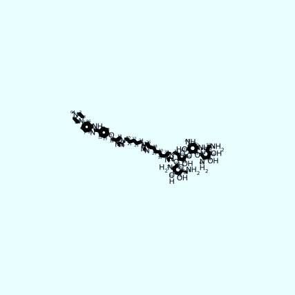 CN1CCN(c2ccc3nc(-c4ccc(OCc5cn(CCCCCn6cc(CCCCc7cn(CC8OC(O[C@@H]9[C@H](O)C(N)CC(N)[C@H]9OC9OC(CN)C(O)[C@@H](O)[C@@H]9N)[C@@H](O)[C@H]8OC8O[C@@H](CN)C(O)C(O)C8N)nn7)nn6)nn5)cc4)[nH]c3c2)CC1